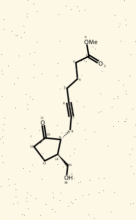 COC(=O)CCCC#CC[C@H]1C(=O)CC[C@@H]1CO